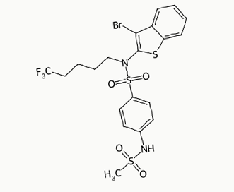 CS(=O)(=O)Nc1ccc(S(=O)(=O)N(CCCCC(F)(F)F)c2sc3ccccc3c2Br)cc1